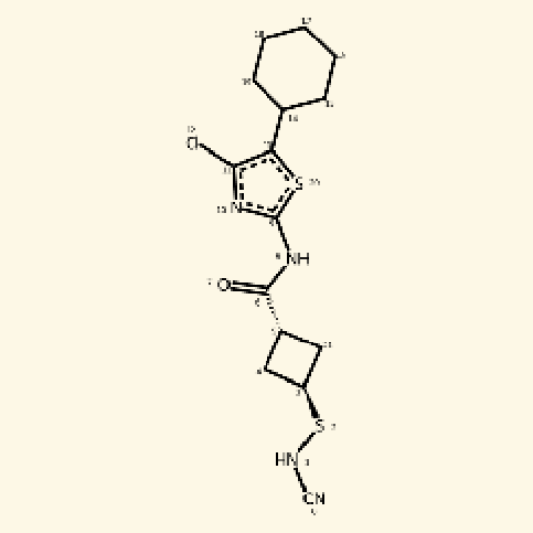 N#CNS[C@H]1C[C@H](C(=O)Nc2nc(Cl)c(C3CCCCC3)s2)C1